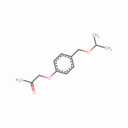 CC(=O)COc1ccc(COC(C)C)cc1